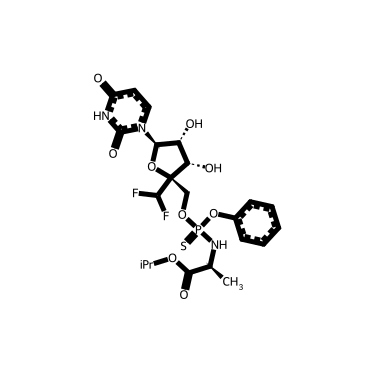 CC(C)OC(=O)[C@H](C)NP(=S)(OC[C@@]1(C(F)F)O[C@@H](n2ccc(=O)[nH]c2=O)[C@H](O)[C@@H]1O)Oc1ccccc1